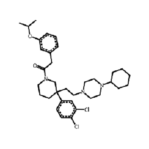 CC(C)Oc1cccc(CC(=O)N2CCCC(CCN3CCN(C4CCCCC4)CC3)(c3ccc(Cl)c(Cl)c3)C2)c1